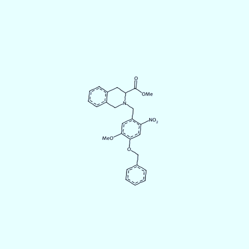 COC(=O)C1Cc2ccccc2CN1Cc1cc(OC)c(OCc2ccccc2)cc1[N+](=O)[O-]